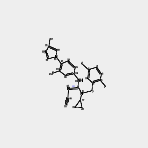 Cc1ccc(C)c(CN(/C(=N\C#N)Nc2ccc(-n3cnc(C)c3)c(F)c2)C2CC2)c1